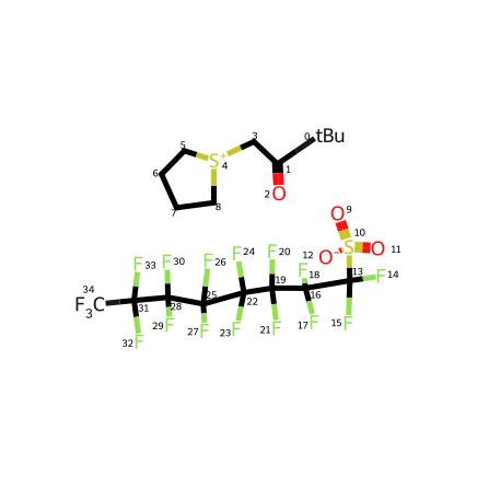 CC(C)(C)C(=O)C[S+]1CCCC1.O=S(=O)([O-])C(F)(F)C(F)(F)C(F)(F)C(F)(F)C(F)(F)C(F)(F)C(F)(F)C(F)(F)F